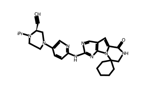 C#C[C@H]1CN(c2ccc(Nc3ncc4cc5n(c4n3)C3(CCCCC3)CNC5=O)nc2)CCN1C(C)C